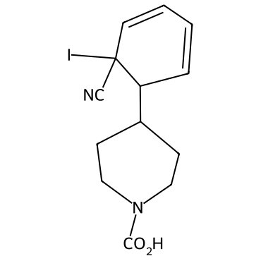 N#CC1(I)C=CC=CC1C1CCN(C(=O)O)CC1